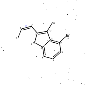 C/C=C\c1sc2cccc(Br)c2c1C